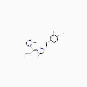 Bn1cccc1/C(CCN)=C1N=C(/C=C/c2ccc(OC)c([N+](=O)[O-])c2)C=C\1C